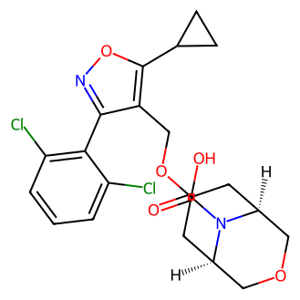 O=C(O)N1[C@@H]2COC[C@H]1CC(OCc1c(-c3c(Cl)cccc3Cl)noc1C1CC1)C2